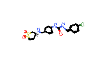 O=C(NCc1ccc(Cl)cc1)Nc1ccc(CN[C@@H]2CCS(=O)(=O)C2)cc1